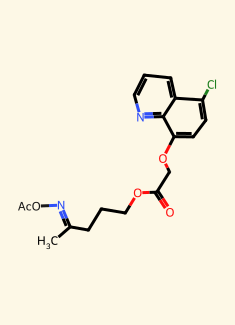 CC(=O)ON=C(C)CCCOC(=O)COc1ccc(Cl)c2cccnc12